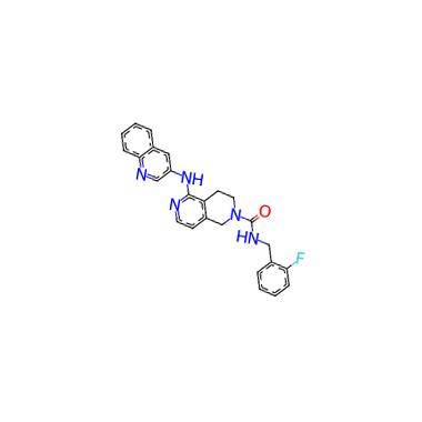 O=C(NCc1ccccc1F)N1CCc2c(ccnc2Nc2cnc3ccccc3c2)C1